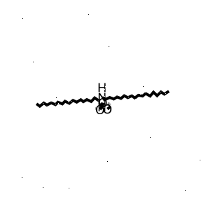 CCCCCCCCCCCCCCCCCCNCCCCCCCCCCCCCCCCCC.CO[N+](=O)OC